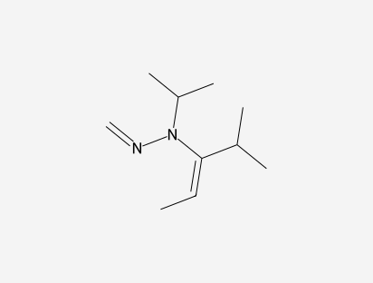 C=NN(/C(=C\C)C(C)C)C(C)C